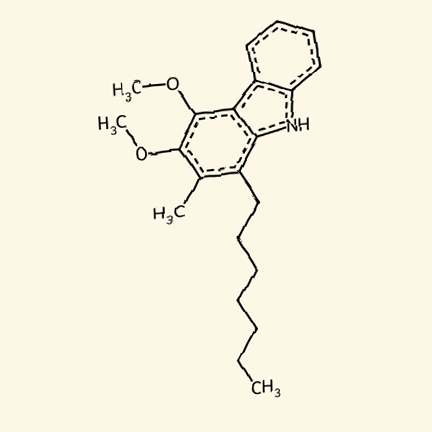 CCCCCCCc1c(C)c(OC)c(OC)c2c1[nH]c1ccccc12